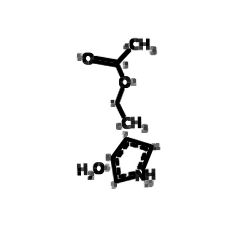 CCOC(C)=O.O.c1cc[nH]c1